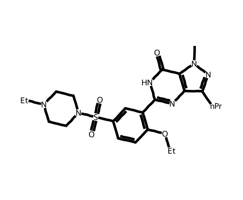 CCCc1nn(C)c2c(=O)[nH]c(-c3cc(S(=O)(=O)N4CCN(CC)CC4)ccc3OCC)nc12